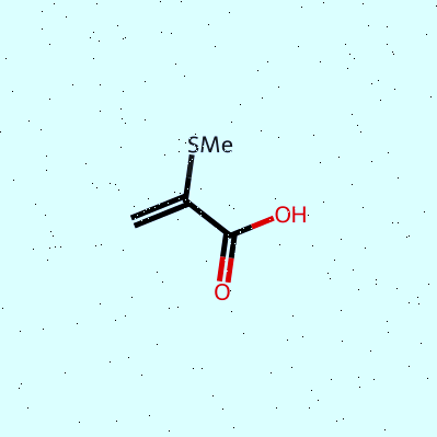 C=C(SC)C(=O)O